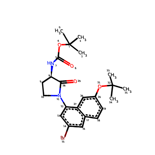 CC(C)(C)OC(=O)N[C@@H]1CCN(c2cc(Br)cc3ccc(OC(C)(C)C)cc23)C1=O